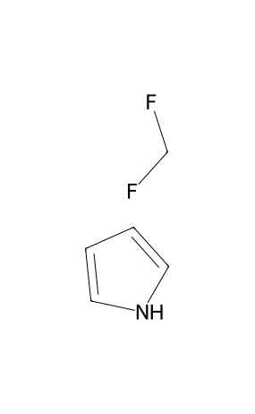 FCF.c1cc[nH]c1